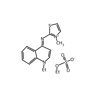 CCOS(=O)(=O)[O-].CCn1ccc(=Nc2scc[n+]2C)c2ccccc21